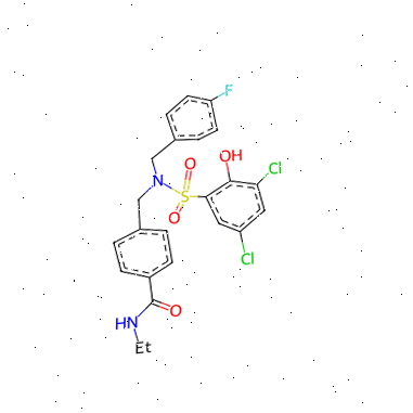 CCNC(=O)c1ccc(CN(Cc2ccc(F)cc2)S(=O)(=O)c2cc(Cl)cc(Cl)c2O)cc1